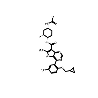 CCC(=O)N[C@@H]1CC[C@H](NC(=O)c2c(C)[nH]c3c(-c4cc(C(F)(F)F)ccc4OCC4CC4)ncnc23)[C@H](F)C1